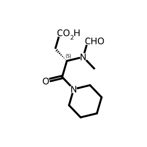 CN(C=O)[C@@H](CC(=O)O)C(=O)N1CCCCC1